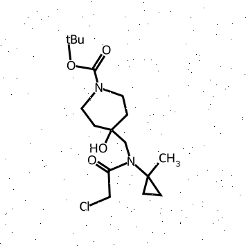 CC(C)(C)OC(=O)N1CCC(O)(CN(C(=O)CCl)C2(C)CC2)CC1